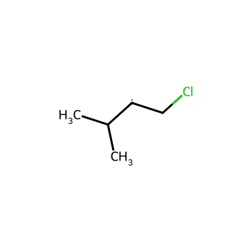 CC(C)[CH]CCl